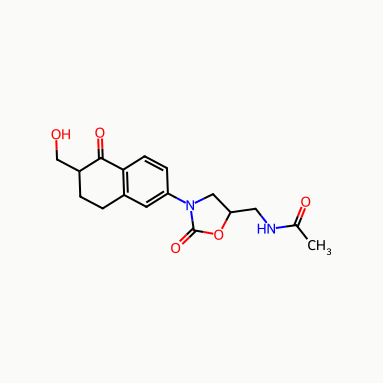 CC(=O)NCC1CN(c2ccc3c(c2)CCC(CO)C3=O)C(=O)O1